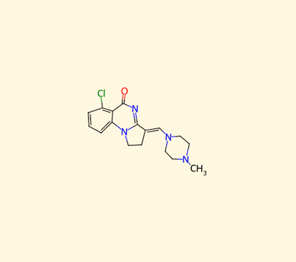 CN1CCN(/C=C2\CCn3c2nc(=O)c2c(Cl)cccc23)CC1